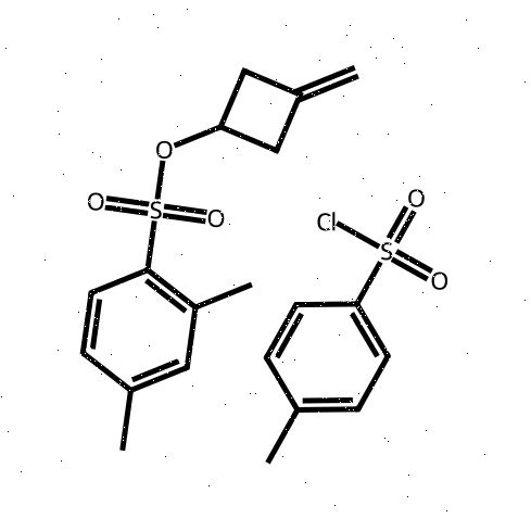 C=C1CC(OS(=O)(=O)c2ccc(C)cc2C)C1.Cc1ccc(S(=O)(=O)Cl)cc1